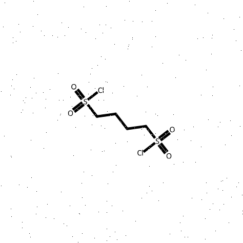 O=S(=O)(Cl)CCCCS(=O)(=O)Cl